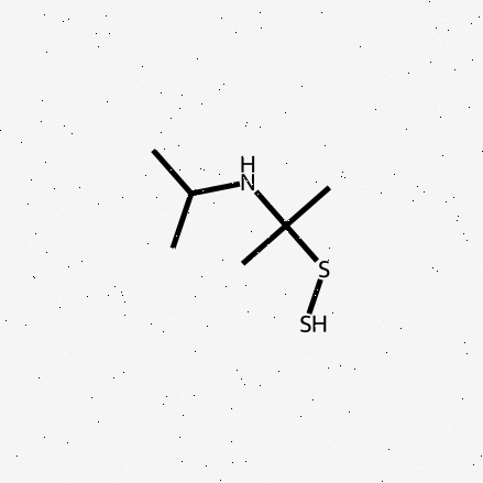 CC(C)NC(C)(C)SS